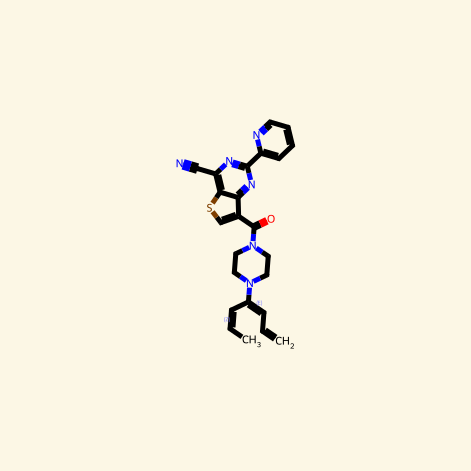 C=C/C=C(\C=C/C)N1CCN(C(=O)c2csc3c(C#N)nc(-c4ccccn4)nc23)CC1